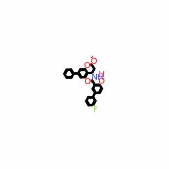 COC(=O)CC(NC(=O)c1cc(-c2cccc(F)c2)ccc1O)c1ccc(-c2ccccc2)cc1